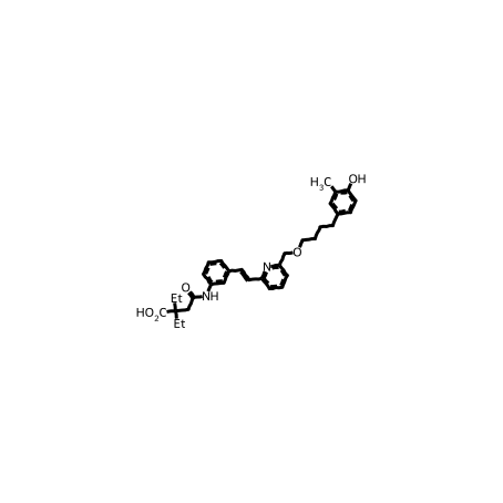 CCC(CC)(CC(=O)Nc1cccc(C=Cc2cccc(COCCCCc3ccc(O)c(C)c3)n2)c1)C(=O)O